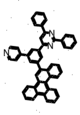 c1ccc(-c2cc(-c3cc(-c4ccncc4)cc(-c4cc5c6ccccc6c6ccccc6c5c5ccccc45)c3)nc(-c3ccccc3)n2)cc1